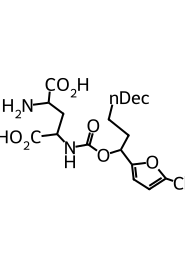 CCCCCCCCCCCCC(OC(=O)NC(CC(N)C(=O)O)C(=O)O)c1ccc(Cl)o1